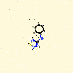 c1ccc(Nc2nnsn2)cc1